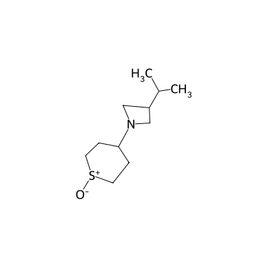 CC(C)C1CN(C2CC[S+]([O-])CC2)C1